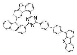 c1ccc(-c2nc(-c3ccc(-c4ccc(-c5cccc6c5sc5ccccc56)cc4)cc3)nc(-c3cccc4oc5ccc(-c6cccc7ccccc67)cc5c34)n2)cc1